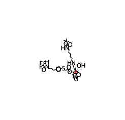 C[C@@H]1CC[C@@]23CCC(=O)[C@H]2[C@]1(C)[C@H](OC(=O)CSc1ccc(CCCNC(=O)C(F)(F)F)cc1)C[C@](C)(CNCCCCCCNC(=O)OC(C)(C)C)[C@@H](O)[C@@H]3C